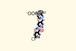 C[C@H]1CN(Cc2ccc(N(C)C(=O)c3ccc(Cl)nc3)nc2)CC[N+]1(C(=O)[O-])C(C)(C)C